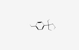 CCc1ccc(C2(CO)CCOC2)cc1